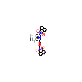 CC(C)N(CCCOCCN1C(=O)c2cccc3cccc(c23)C1=O)CCN1C(=O)c2cccc3cccc(c23)C1=O